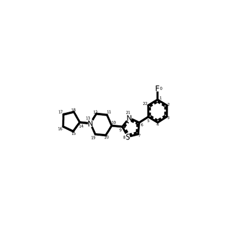 Fc1cccc(-c2csc(C3CCN(C4CCCC4)CC3)n2)c1